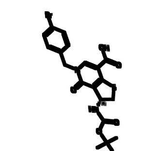 CC(C)(C)OC(=O)N[C@H]1CSc2c(C(=O)O)cn(Cc3ccc(Br)cc3)c(=O)c21